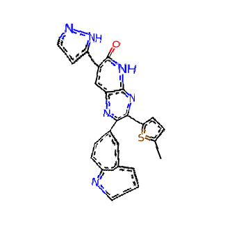 Cc1ccc(-c2nc3[nH]c(=O)c(-c4ccn[nH]4)cc3nc2-c2ccc3ncccc3c2)s1